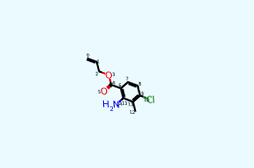 C=CCOC(=O)c1ccc(Cl)c(C)c1N